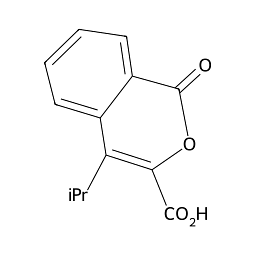 CC(C)c1c(C(=O)O)oc(=O)c2ccccc12